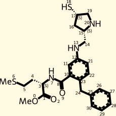 COC(=O)[C@H](CCSC)NC(=O)c1cc(NC[C@@H]2C[C@H](S)CN2)ccc1Cc1ccccc1